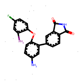 Nc1ccc(Oc2ccc(F)cc2P)c(-c2ccc3c(c2)C(=O)NC3=O)c1